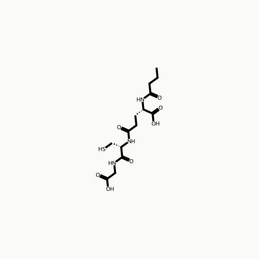 CCCC(=O)N[C@@H](CCC(=O)N[C@@H](CS)C(=O)NCC(=O)O)C(=O)O